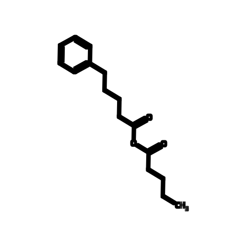 CCCCC(=O)OC(=O)CCCCc1ccccc1